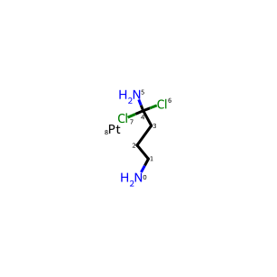 NCCCC(N)(Cl)Cl.[Pt]